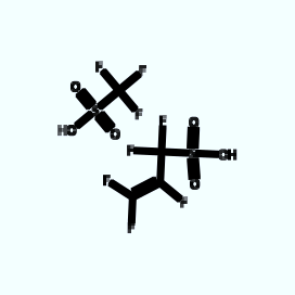 O=S(=O)(O)C(F)(F)C(F)=C(F)F.O=S(=O)(O)C(F)(F)F